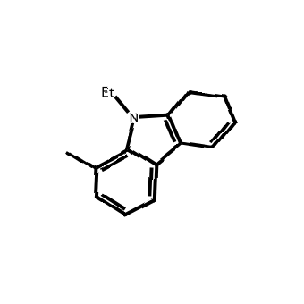 CCn1c2c(c3cccc(C)c31)C=CCC2